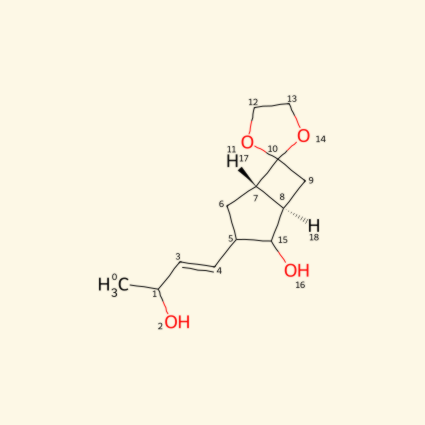 CC(O)C=CC1C[C@H]2[C@@H](CC23OCCO3)C1O